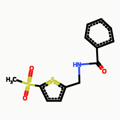 CS(=O)(=O)c1ccc(CNC(=O)c2ccccc2)s1